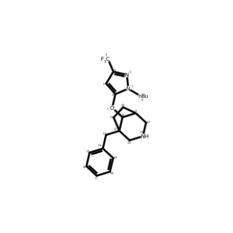 CCCCn1nc(C(F)(F)F)cc1OC1C2CCC1(Cc1ccccc1)CNC2